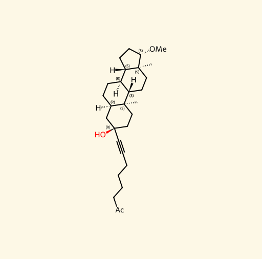 CO[C@H]1CC[C@H]2[C@@H]3CC[C@@H]4C[C@@](O)(C#CCCCCC(C)=O)CC[C@]4(C)[C@H]3CC[C@]12C